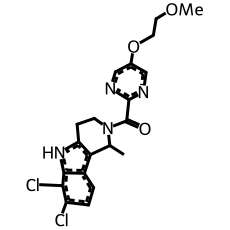 COCCOc1cnc(C(=O)N2CCc3[nH]c4c(Cl)c(Cl)ccc4c3C2C)nc1